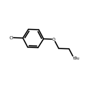 CC(C)(C)CCOc1ccc(Cl)cc1